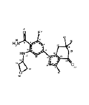 Cc1nn(-c2cc(F)c(C(N)=O)c(NC3COC3)c2)c2c1C(=O)CC(C)(C)C2